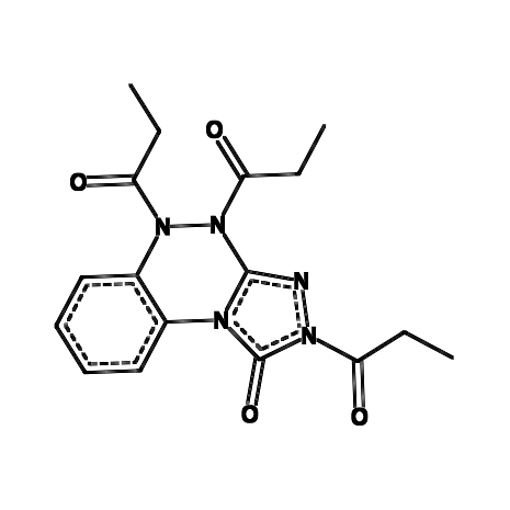 CCC(=O)N1c2ccccc2-n2c(nn(C(=O)CC)c2=O)N1C(=O)CC